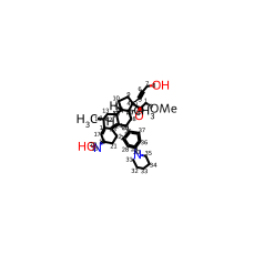 COCC(=O)[C@@]1(C#CCO)CC[C@H]2[C@@H]3CC(C)C4=CC(=NO)CCC4=C3[C@@H](c3ccc(N4CCCCC4)cc3)C[C@@]21C